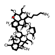 COC(=O)C1=C(CF)NC(CCCCN)=C(C(=O)OC(=O)/C=C\C(=O)ON2C(CCCCN)=C(C(=O)O)C(c3c(F)ccc(Cl)c3C(F)(F)F)C(C)(C(=O)O)C2CF)C1c1c(F)ccc(Cl)c1C(F)(F)F